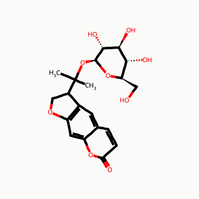 CC(C)(O[C@@H]1O[C@H](CO)[C@@H](O)[C@H](O)[C@H]1O)C1COc2cc3oc(=O)ccc3cc21